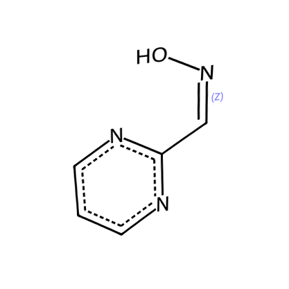 O/N=C\c1ncccn1